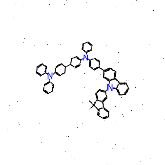 CC1(C)c2ccccc2-c2cc(-n3c4ccccc4c4ccc(-c5ccc(N(C6=CCC(C7C=CC(N(c8ccccc8)c8ccccc8)=CC7)C=C6)c6ccccc6)cc5)cc43)ccc21